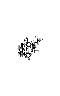 C=CC(=O)Nc1cc(Nc2ncc3ncn(-c4cccc(F)c4)c3n2)c(OC)cc1N(C)CCN(C)C